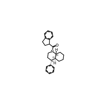 O=C(C1CCc2ccccc21)N1CC[C@@H](c2ccccc2)[C@@H]2CCCC[C@H]21